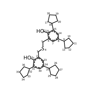 Oc1c(CSCc2cc(C3CCCC3)cc(C3CCCC3)c2O)cc(C2CCCC2)cc1C1CCCC1